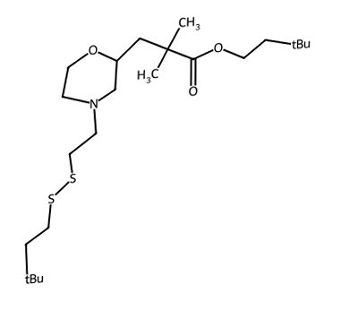 CC(C)(C)CCOC(=O)C(C)(C)CC1CN(CCSSCCC(C)(C)C)CCO1